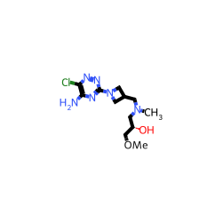 COC[C@@H](O)CN(C)CC1CN(c2nnc(Cl)c(N)n2)C1